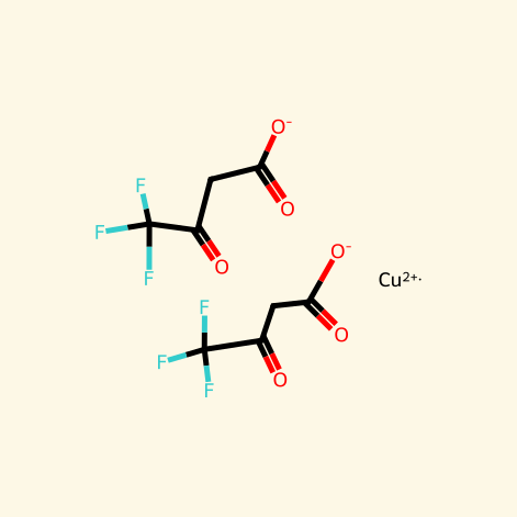 O=C([O-])CC(=O)C(F)(F)F.O=C([O-])CC(=O)C(F)(F)F.[Cu+2]